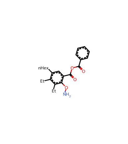 CCCCCCc1cc(C(=O)OC(=O)c2ccccc2)c(ON)c(CC)c1CC